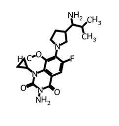 COc1c(N2CCC(C(N)C(C)C)C2)c(F)cc2c(=O)n(N)c(=O)n(C3CC3)c12